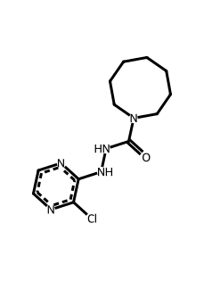 O=C(NNc1nccnc1Cl)N1CCCCCCC1